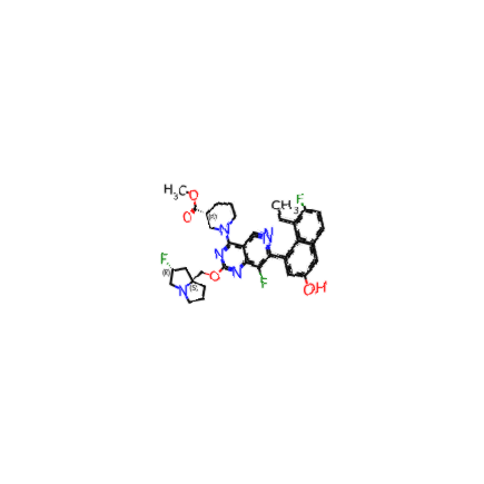 CCc1c(F)ccc2cc(O)cc(-c3ncc4c(N5CCC[C@@H](C(=O)OC)C5)nc(OC[C@@]56CCCN5C[C@H](F)C6)nc4c3F)c12